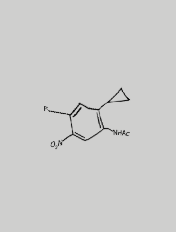 CC(=O)Nc1cc([N+](=O)[O-])c(F)cc1C1CC1